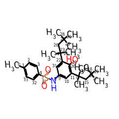 Cc1ccc(S(=O)(=O)Nc2cc(C(C)(C)CC(C)(C)C)c(O)c(C(C)(C)CC(C)(C)C)c2)cc1